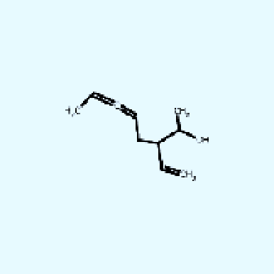 C=CC(CC=C=CC)C(C)O